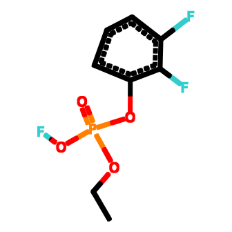 CCOP(=O)(OF)Oc1cccc(F)c1F